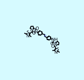 Cc1nc(C)c(C(=O)N2CCC[C@H]2C(=O)Nc2ccc(/C=C/c3ccc(NC(=O)[C@@H]4CCCN4C(=O)c4sc(C)nc4C)cc3)cc2)s1